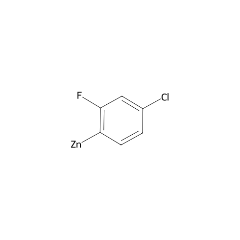 Fc1cc(Cl)cc[c]1[Zn]